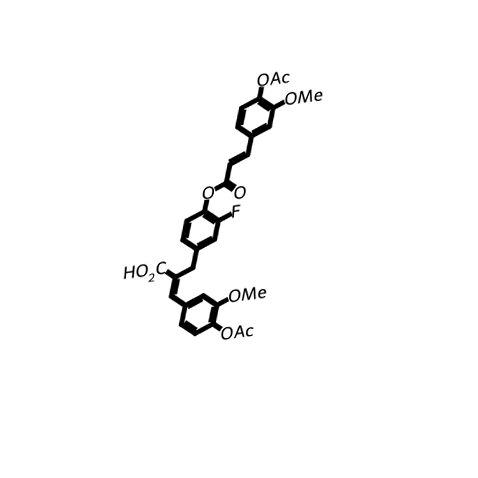 COc1cc(/C=C/C(=O)Oc2ccc(C/C(=C\c3ccc(OC(C)=O)c(OC)c3)C(=O)O)cc2F)ccc1OC(C)=O